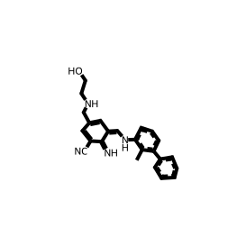 Cc1c(N/C=C2/C=C(CNCCO)C=C(C#N)C2=N)cccc1-c1ccccc1